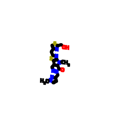 Cn1ccc(Cn2ncc3c4sc(Cc5csc(CO)n5)nc4n(C)c3c2=O)n1